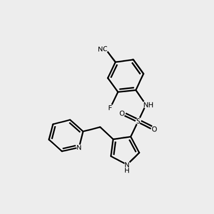 N#Cc1ccc(NS(=O)(=O)c2c[nH]cc2Cc2ccccn2)c(F)c1